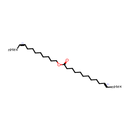 CCCCCC/C=C\CCCCCCCCOC(=O)CCCCCCCCC/C=C/CCCCCC